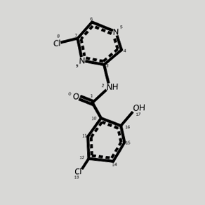 O=C(Nc1cncc(Cl)n1)c1cc(Cl)ccc1O